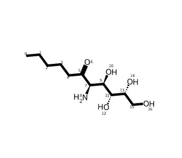 CCCCCC(=O)[C@H](N)[C@@H](O)[C@@H](O)[C@H](O)CO